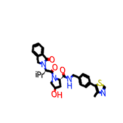 Cc1ncsc1-c1ccc(CNC(=O)[C@@H]2CC(O)CN2C(=O)[C@H](C(C)C)N2Cc3ccccc3C2=O)cc1